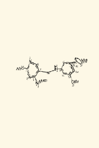 CNc1nc(SC)ncc1CNc1cc(OC)cc(OC)c1